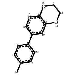 Cc1ccc(-c2cnc3c(c2)OCCO3)cc1